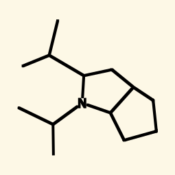 CC(C)C1CC2CCCC2N1C(C)C